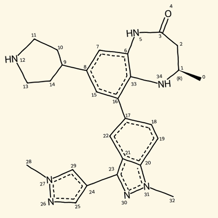 C[C@@H]1CC(=O)Nc2cc(C3CCNCC3)cc(-c3ccc4c(c3)c(-c3cnn(C)c3)nn4C)c2N1